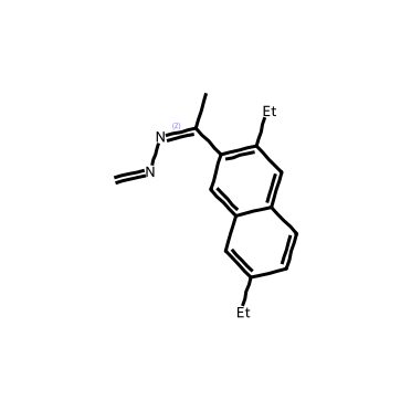 C=N/N=C(/C)c1cc2cc(CC)ccc2cc1CC